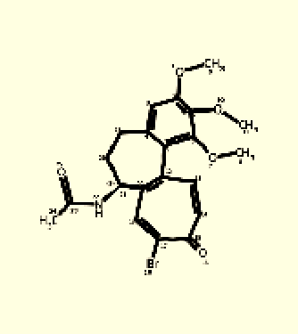 COc1cc2c(c(OC)c1OC)-c1ccc(=O)c(Br)cc1[C@@H](NC(C)=O)CC2